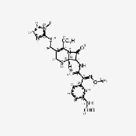 CC(C)ON=C(C(=O)NC1C(=O)N2C(C(=O)O)=C(CSc3nnnn3C)CS[C@@H]12)c1cccc(NC=O)n1